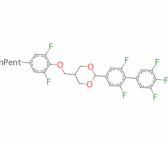 CCCCCc1cc(F)c(OCC2COC(c3cc(F)c(-c4cc(F)c(F)c(F)c4)c(F)c3)OC2)c(F)c1